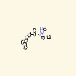 C(/Cc1ccc(-c2ccc3c(c2)-c2cc4c5c(cccc5c2C3)-c2ccccc2-4)c2ccccc12)=C(/NCc1ccccc1)c1cccc(-c2ccccc2)c1